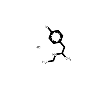 CCNC(C)Cc1ccc(Br)cc1.Cl